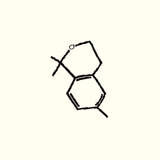 Cc1ccc2c(c1)CCOC2(C)C